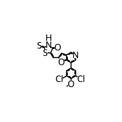 COc1c(Cl)cc(-c2cncc3cc(C=C4SC(=S)NC4=O)oc23)cc1Cl